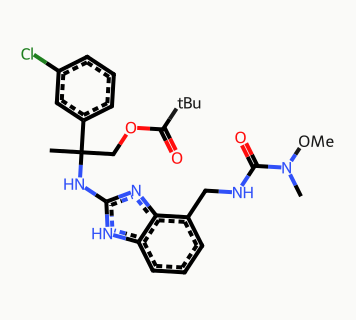 CON(C)C(=O)NCc1cccc2[nH]c(NC(C)(COC(=O)C(C)(C)C)c3cccc(Cl)c3)nc12